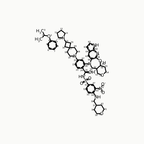 CC(C)Oc1ccccc1[C@@H]1CCCN1C1CC2(CCN(c3ccc(C(=O)NS(=O)(=O)c4ccc(NCC5CCOCC5)c([N+](=O)[O-])c4)c(N4C[C@@H]5COCC[C@@H]5Oc5nc6[nH]ccc6cc54)c3)CC2)C1